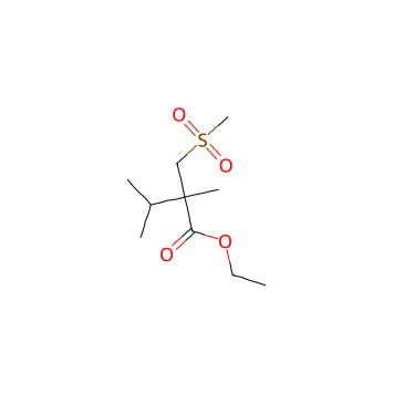 CCOC(=O)C(C)(CS(C)(=O)=O)C(C)C